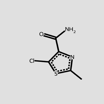 Cc1nc(C(N)=O)c(Cl)s1